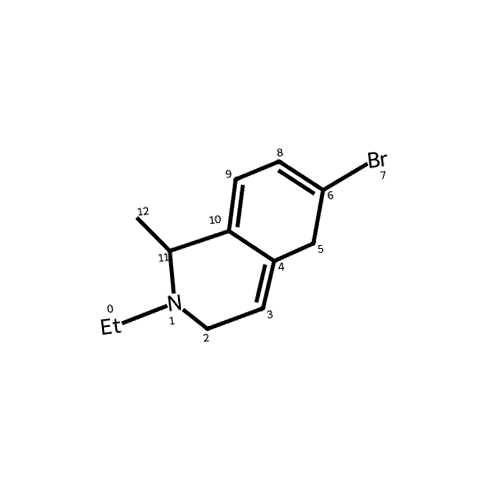 CCN1CC=C2CC(Br)=CC=C2C1C